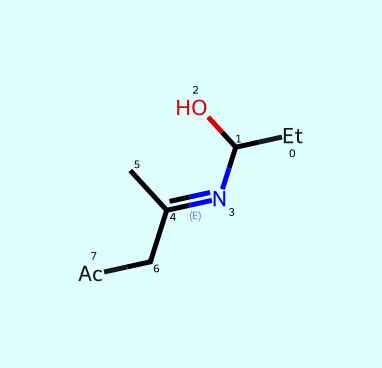 CCC(O)/N=C(\C)CC(C)=O